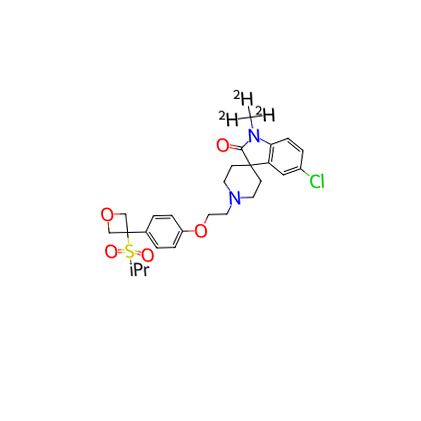 [2H]C([2H])([2H])N1C(=O)C2(CCN(CCOc3ccc(C4(S(=O)(=O)C(C)C)COC4)cc3)CC2)c2cc(Cl)ccc21